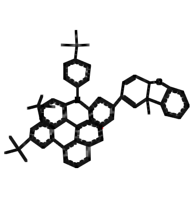 CC(C)(C)c1ccc(N(c2cccc(C3=CC4(C)c5ccccc5OC4C=C3)c2)c2ccccc2-c2cccc3cccc(-c4cc(C(C)(C)C)cc(C(C)(C)C)c4)c23)cc1